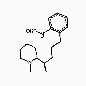 CC(CCCc1ccccc1NC=O)C1CCCCN1C